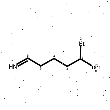 CCCC(CC)CCCC=N